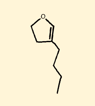 CCCCC1=COCC1